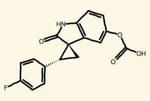 O=C(O)Oc1ccc2c(c1)[C@@]1(C[C@@H]1c1ccc(F)cc1)C(=O)N2